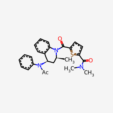 CC(=O)N(c1ccccc1)[C@@H]1C[C@H](C)N(C(=O)c2ccc(C(=O)N(C)C)s2)c2ccccc21